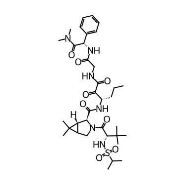 CCC[C@H](NC(=O)[C@@H]1[C@@H]2C(CN1C(=O)[C@@H](NS(=O)(=O)C(C)C)C(C)(C)C)C2(C)C)C(=O)C(=O)NCC(=O)N[C@H](C(=O)N(C)C)c1ccccc1